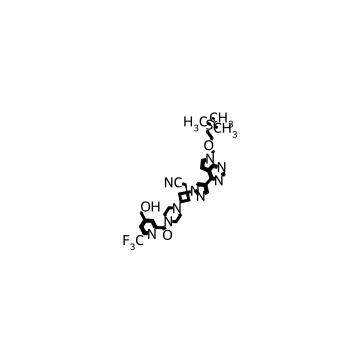 C[Si](C)(C)CCOCn1ccc2c(-c3cnn([C@]4(CC#N)C[C@@H](N5CCN(C(=O)c6cc(CO)cc(C(F)(F)F)n6)CC5)C4)c3)ncnc21